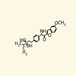 COc1ccc2oc(C(=O)C(N)c3ccc(CC[Si](O)(O)C(C)C)cc3)cc2c1